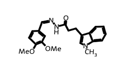 COc1ccc(/C=N\NC(=O)CCc2cn(C)c3ccccc23)cc1OC